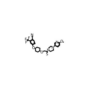 COc1ccc(N2CCN(C(=S)COC3CCC(Oc4ccc(C#N)c(C(F)(F)F)c4)CC3)CC2)cn1